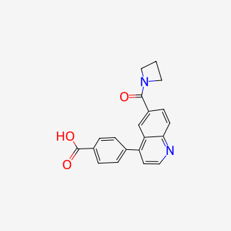 O=C(O)c1ccc(-c2ccnc3ccc(C(=O)N4CCC4)cc23)cc1